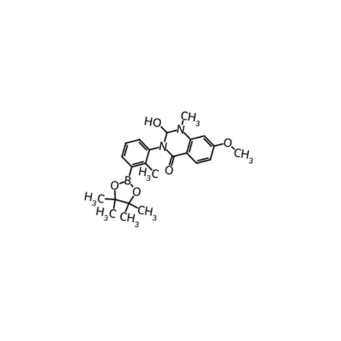 COc1ccc2c(c1)N(C)C(O)N(c1cccc(B3OC(C)(C)C(C)(C)O3)c1C)C2=O